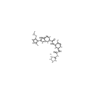 COCc1noc(C)c1-c1cc2cc(C(=O)Nc3cc(NC(=O)CN4CCC[C@@H]4C)cnc3C)cnc2[nH]1